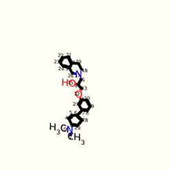 CN(C)c1ccc(-c2cccc(OCC(O)CN3CCc4ccccc4C3)c2)cc1